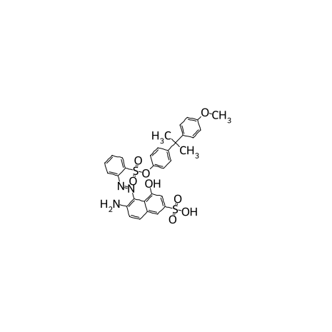 COc1ccc(C(C)(C)c2ccc(OS(=O)(=O)c3ccccc3/N=N/c3c(N)ccc4cc(S(=O)(=O)O)cc(O)c34)cc2)cc1